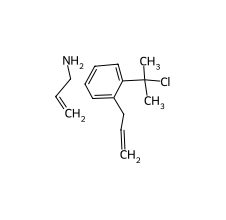 C=CCN.C=CCc1ccccc1C(C)(C)Cl